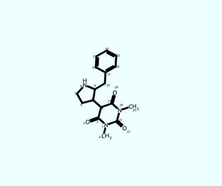 CN1C(=O)C(C2CCNC2Cc2ccccc2)C(=O)N(C)C1=O